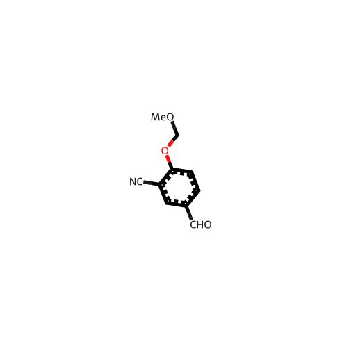 COCOc1ccc(C=O)cc1C#N